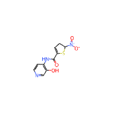 O=C(Nc1ccncc1O)C1=CCC([N+](=O)[O-])S1